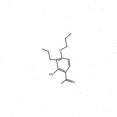 CCCOc1ccc(C(C)=O)c(O)c1CCC